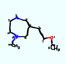 COCCC1C[N]CCN(C)C1